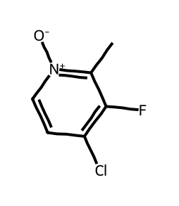 Cc1c(F)c(Cl)cc[n+]1[O-]